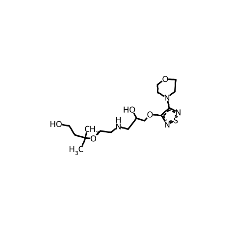 CC(C)(CCO)OCCNCC(O)COc1nsnc1N1CCOCC1